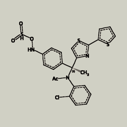 CC(=O)N(c1ccccc1Cl)[C@@](C)(c1ccc(NO[SH](=O)=O)cc1)c1csc(-c2cccs2)n1